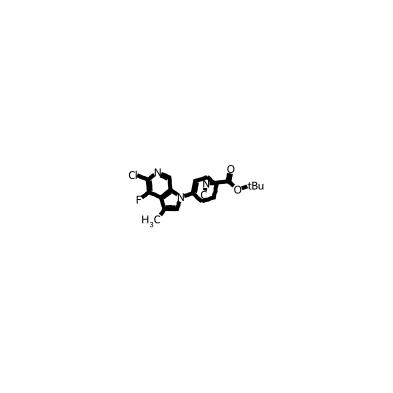 Cc1cn(C2=CC3CCC2CN3C(=O)OC(C)(C)C)c2cnc(Cl)c(F)c12